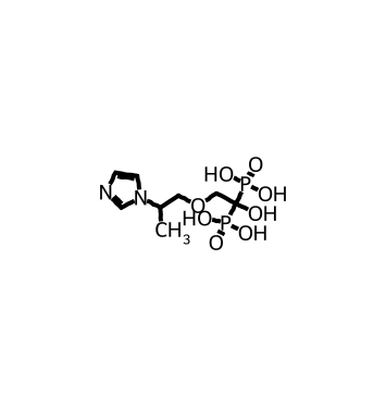 CC(COCC(O)(P(=O)(O)O)P(=O)(O)O)n1ccnc1